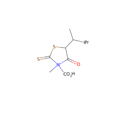 CC(C)C(C)C1SC(=S)[N+](C)(C(=O)O)C1=O